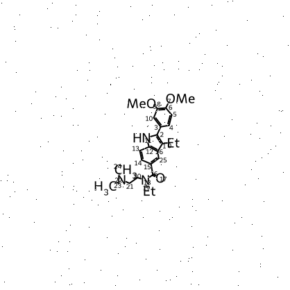 CCc1c(-c2ccc(OC)c(OC)c2)[nH]c2ccc(C(=O)N(CC)CCN(C)C)cc12